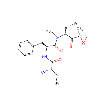 CC(C)C[C@H](N)C(=O)N[C@@H](Cc1ccccc1)C(=O)N(C)[C@@H](CC(C)C)C(=O)[C@@]1(C)CO1